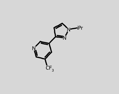 CC(C)n1ccc(-c2cncc(C(F)(F)F)c2)n1